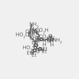 CCN(CC)c1ccc2c(-c3ccc(S(=O)(=O)NCCSSCC(NC(=O)C(CCCCN)NC(=O)C(CC(=O)O)NC(=O)CCC(NC(=O)c4ccc(NCc5cnc6[nH]c(N)nc(=O)c6n5)cc4)C(=O)O)C(=O)O)cc3S(=O)(=O)O)c3ccc(N(CC)CC)cc3[o+]c2c1